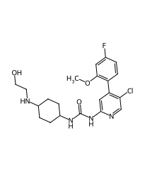 COc1cc(F)ccc1-c1cc(NC(=O)NC2CCC(NCCO)CC2)ncc1Cl